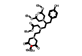 CC(C)(C)OC(=O)CN(CCN(CC(=O)OC(C)(C)C)CC(Cc1ccc(O)cc1)N(CC(=O)OC(C)(C)C)CC(=O)OC(C)(C)C)CC(=O)OC(C)(C)C